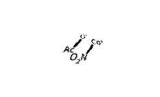 CC(=O)[O-].O=[N+]([O-])[Co+]